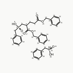 O=C(CCC(CP(=O)(O)Cc1ccccc1)C(=O)OCc1ccccc1)OCc1ccccc1.O=[PH](O)Cc1ccccc1